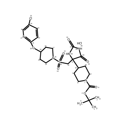 CC(C)(C)OC(=O)N1CCC(C2(CS(=O)(=O)N3CCC(Oc4ccc(Cl)cn4)CC3)NC(=O)NC2=O)CC1.Cl